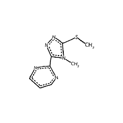 CSc1nnc(-c2ncccn2)n1C